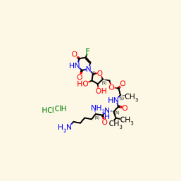 CC(C)[C@H](NC(=O)[C@@H](N)CCCCN)C(=O)N[C@@H](C)C(=O)OC[C@@H]1O[C@H](n2cc(F)c(=O)[nH]c2=O)C(O)C1O.Cl.Cl